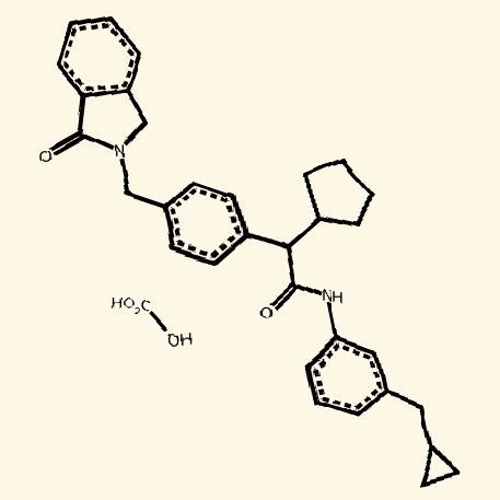 O=C(Nc1cccc(CC2CC2)c1)C(c1ccc(CN2Cc3ccccc3C2=O)cc1)C1CCCC1.O=C(O)O